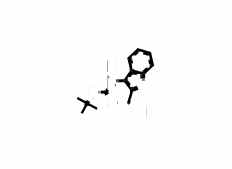 CC(C)(C)OC(=O)Nc1c(CO)sc2ccccc12